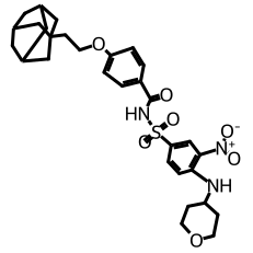 O=C(NS(=O)(=O)c1ccc(NC2CCOCC2)c([N+](=O)[O-])c1)c1ccc(OCCC23CC4CC(CC(C4)C2)C3)cc1